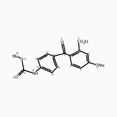 CCOC(=O)c1cc(OC)ccc1C(=O)c1ccc(NC(=O)OC(C)(C)C)cc1